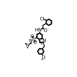 COc1cccc(Cn2cc3c(S(=O)(=O)N=CN(C)C)cc(NC(=O)Cc4ccccc4Cl)cc3n2)c1